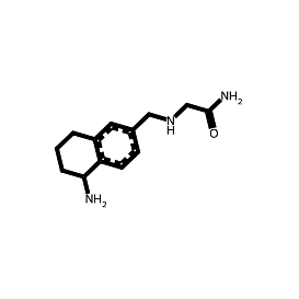 NC(=O)CNCc1ccc2c(c1)CCCC2N